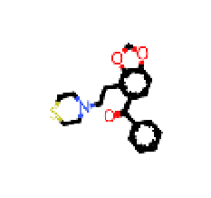 O=C(c1ccccc1)c1ccc2c(c1CCN1CCSCC1)OCO2